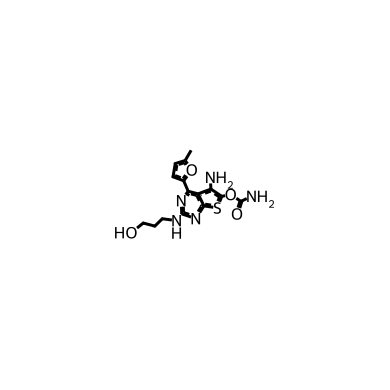 Cc1ccc(-c2nc(NCCCO)nc3sc(OC(N)=O)c(N)c23)o1